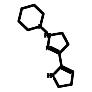 C1=C(C2=N[SH](N3CCCCC3)CC2)NCC1